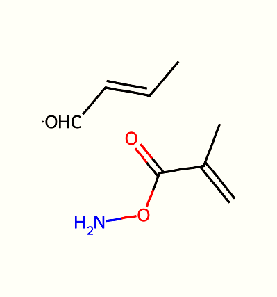 C=C(C)C(=O)ON.CC=C[C]=O